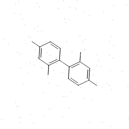 Pc1ccc(-c2ccc(P)cc2I)c(P)c1